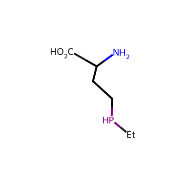 CCPCCC(N)C(=O)O